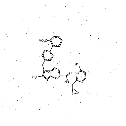 Cc1nc2cc(C(=O)N[C@H](c3cccc(C(C)C)c3)C3CC3)ccc2n1Cc1ccc(-c2ccccc2C(=O)O)cc1